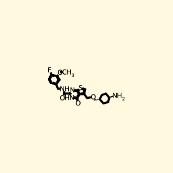 COc1cc(CNC(=O)c2nc3scc(COC[C@H]4CC[C@H](N)CC4)c3c(=O)[nH]2)ccc1F